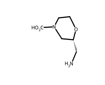 NC[C@@H]1CN(C(=O)O)CCO1